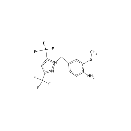 CSc1cc(Cn2nc(C(F)(F)F)cc2C(F)(F)F)ccc1N